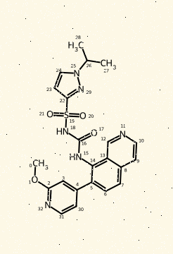 COc1cc(-c2ccc3ccncc3c2NC(=O)NS(=O)(=O)c2ccn(C(C)C)n2)ccn1